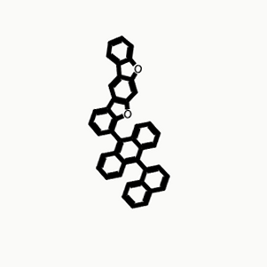 c1ccc2c(-c3c4ccccc4c(-c4cccc5c4oc4cc6oc7ccccc7c6cc45)c4ccccc34)cccc2c1